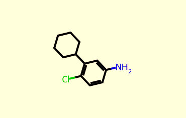 Nc1ccc(Cl)c(C2CCCCC2)c1